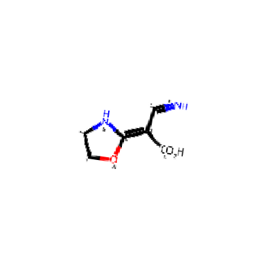 N=C/C(C(=O)O)=C1\NCCO1